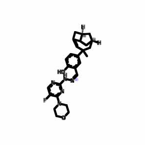 CC1(c2ccc(O)c(/C=N\Nc3ncc(F)c(N4CCOCC4)n3)c2)C=C2C[C@H]3C[C@@H](CC23)C1